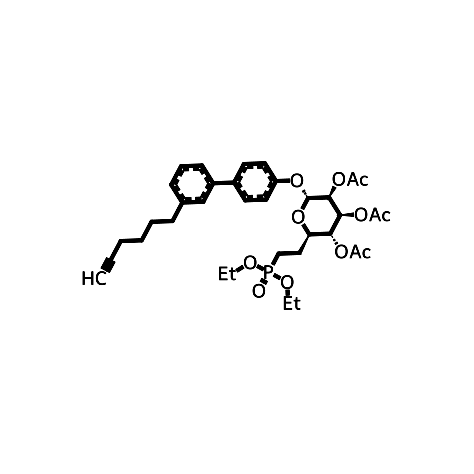 C#CCCCCc1cccc(-c2ccc(O[C@H]3O[C@H](CCP(=O)(OCC)OCC)[C@@H](OC(C)=O)[C@H](OC(C)=O)[C@@H]3OC(C)=O)cc2)c1